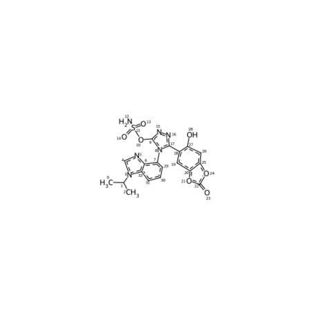 CC(C)n1cnc2c(-n3c(OS(N)(=O)=O)nnc3-c3cc4oc(=O)oc4cc3O)cccc21